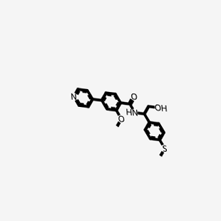 COc1cc(-c2ccncc2)ccc1C(=O)NC(CO)c1ccc(SC)cc1